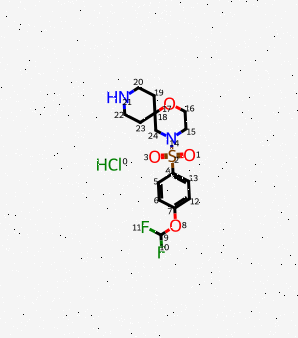 Cl.O=S(=O)(c1ccc(OC(F)F)cc1)N1CCOC2(CCNCC2)C1